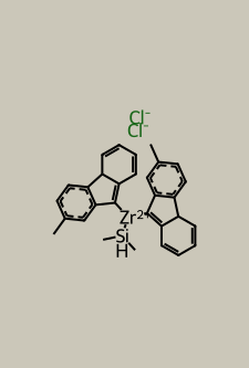 Cc1ccc2c(c1)[C]([Zr+2]([C]1=C3C=CC=CC3c3ccc(C)cc31)[SiH](C)C)=C1C=CC=CC12.[Cl-].[Cl-]